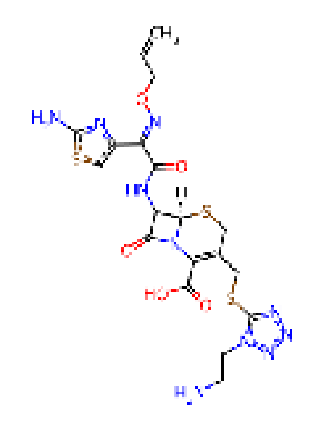 C=CCO/N=C(/C(=O)NC1C(=O)N2C(C(=O)O)=C(CSc3nnnn3CCN)CS[C@H]12)c1csc(N)n1